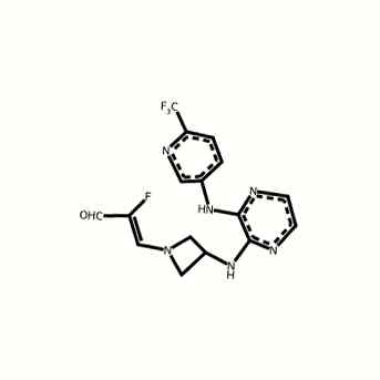 O=CC(F)=CN1CC(Nc2nccnc2Nc2ccc(C(F)(F)F)nc2)C1